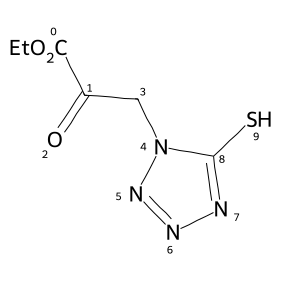 CCOC(=O)C(=O)Cn1nnnc1S